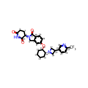 O=C1CCC(N2Cc3cc(O[C@@H]4CCCC[C@H]4N4CC(c5ccc(C(F)(F)F)nc5)C4)ccc3C2=O)C(=O)N1